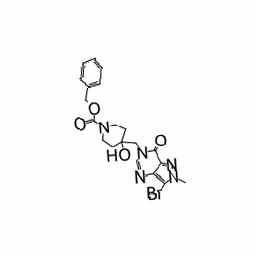 Cn1nc2c(=O)n(CC3(O)CCN(C(=O)OCc4ccccc4)CC3)cnc2c1Br